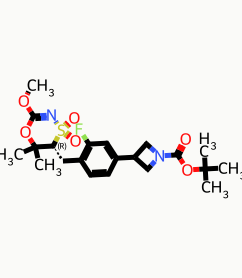 COC1=NS(=O)(=O)[C@H](Cc2ccc(C3CN(C(=O)OC(C)(C)C)C3)cc2F)C(C)(C)O1